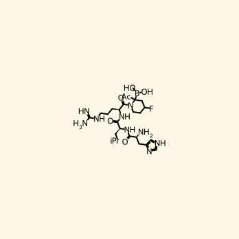 CC(=O)C1(B(O)O)CC(F)CCN1C(=O)[C@H](CCCNC(=N)N)NC(=O)[C@H](CC(C)C)NC(=O)[C@@H](N)Cc1c[nH]cn1